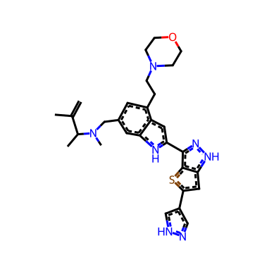 C=C(C)C(C)N(C)Cc1cc(CCN2CCOCC2)c2cc(-c3n[nH]c4cc(-c5cn[nH]c5)sc34)[nH]c2c1